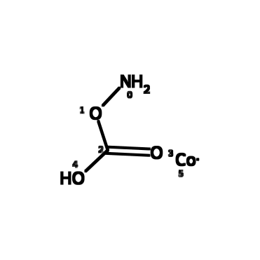 NOC(=O)O.[Co]